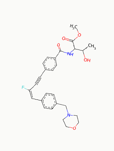 COC(=O)C(NC(=O)c1ccc(C#C/C(F)=C\c2ccc(CN3CCOCC3)cc2)cc1)C(C)O